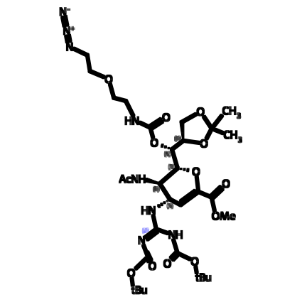 COC(=O)C1=C[C@H](N/C(=N/C(=O)OC(C)(C)C)NC(=O)OC(C)(C)C)[C@@H](NC(C)=O)[C@H]([C@H](OC(=O)NCCOCCN=[N+]=[N-])[C@H]2COC(C)(C)O2)O1